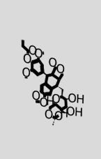 CCC(=O)Oc1c(OC)cc([C@@H]2c3cc4c(cc3[C@@H](C[C@@H]3O[C@@H]5CO[C@@H](C)O[C@H]5[C@H](O)[C@H]3O)C3COC(=O)C32)OCO4)cc1OC